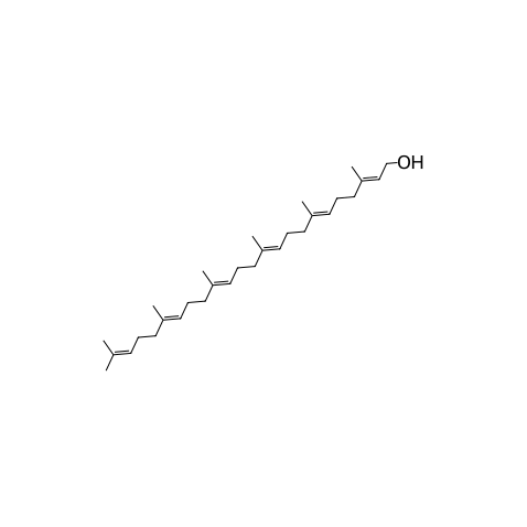 CC(C)=CCC/C(C)=C/CC/C(C)=C/CC/C(C)=C/CC/C(C)=C/CC/C(C)=C/CO